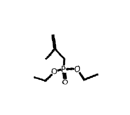 C=C(C)CP(=O)(OCC)OCC